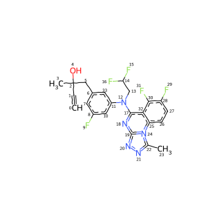 C#CC(C)(O)Cc1cc(F)cc(N(CC(F)F)c2nc3nnc(C)n3c3ccc(F)c(F)c23)c1